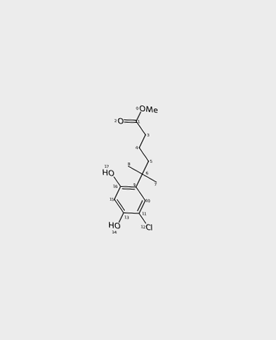 COC(=O)CCCC(C)(C)c1cc(Cl)c(O)cc1O